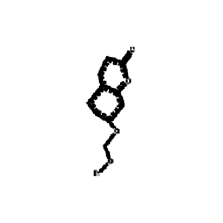 CCOCOc1ccc2ccc(=O)oc2c1